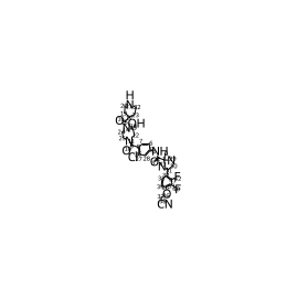 CC1(C(=O)Nc2ccc(C(=O)N3CCN(C(=O)C4(O)CCNCC4)CC3)c(Cl)c2)N=CC(c2ccc(OCC#N)c(F)c2F)=N1